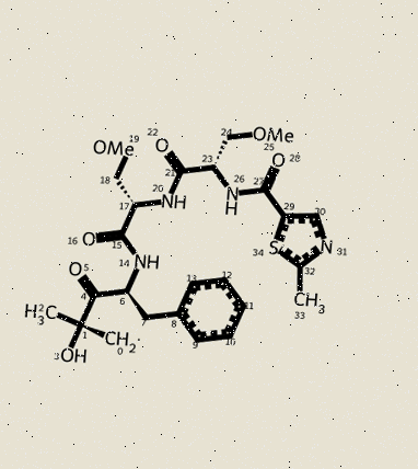 [CH2][C@](C)(O)C(=O)[C@H](Cc1ccccc1)NC(=O)[C@H](COC)NC(=O)[C@H](COC)NC(=O)c1cnc(C)s1